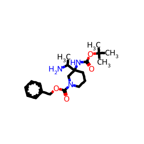 CC(N)C1(NC(=O)OC(C)(C)C)CCCN(C(=O)OCc2ccccc2)C1